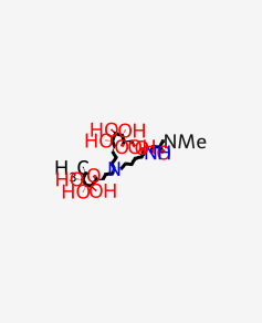 CNCC(=O)CNC(=O)CCCCCN(CCC[C@@H]1O[C@@H](C)[C@@H](O)[C@@H](O)[C@@H]1O)CCC[C@H]1O[C@H](CO)[C@@H](O)[C@H](O)[C@H]1O